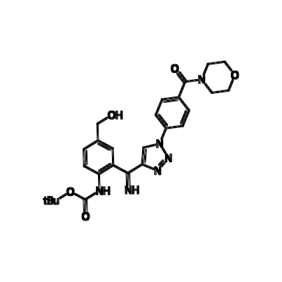 CC(C)(C)OC(=O)Nc1ccc(CO)cc1C(=N)c1cn(-c2ccc(C(=O)N3CCOCC3)cc2)nn1